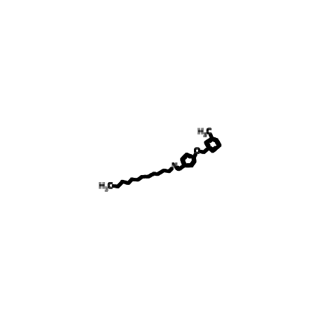 CCCCCCCCCCCC/N=C/c1ccc(OCc2cccc(C)c2)cc1